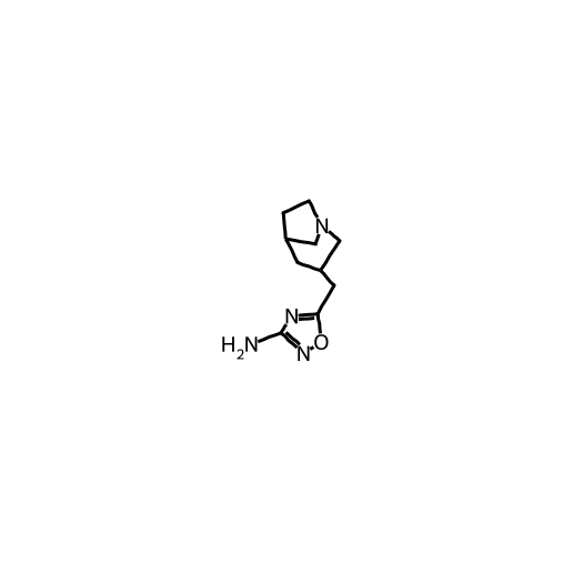 Nc1noc(CC2CC3CCN(C3)C2)n1